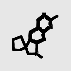 Cc1ncc2cc3c(cc2n1)N(C)CC31CCCC1